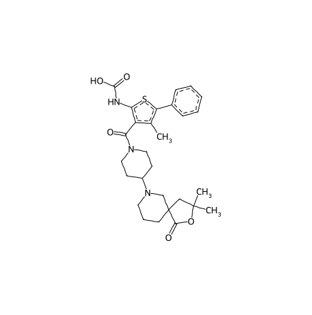 Cc1c(-c2ccccc2)sc(NC(=O)O)c1C(=O)N1CCC(N2CCCC3(C2)CC(C)(C)OC3=O)CC1